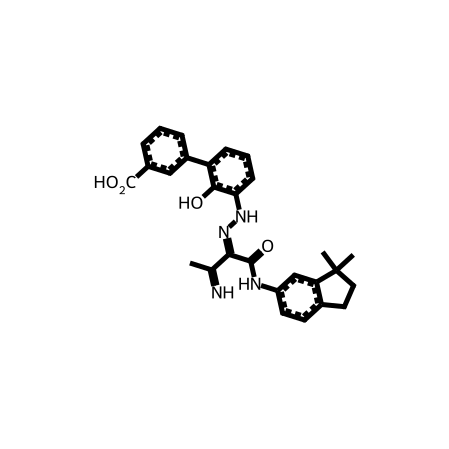 CC(=N)/C(=N/Nc1cccc(-c2cccc(C(=O)O)c2)c1O)C(=O)Nc1ccc2c(c1)C(C)(C)CC2